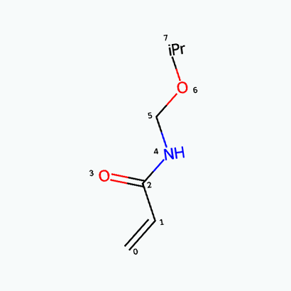 C=CC(=O)NCOC(C)C